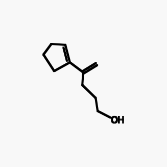 C=C(CCCO)C1=CCCC1